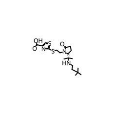 CC(C)(C)CCNC(C)(C)[C@H]1CCC(=O)N1CCSc1nc(C(=O)O)cs1